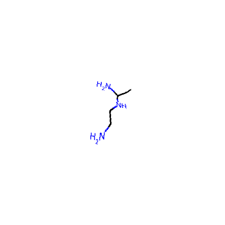 CC(N)NCCN